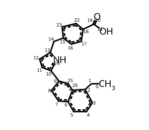 CCc1cccc2ccc(-c3ccc(Cc4ccc(C(=O)O)cc4)[nH]3)cc12